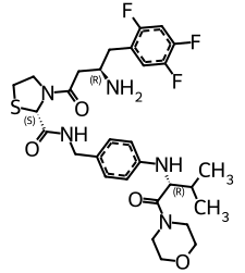 CC(C)[C@@H](Nc1ccc(CNC(=O)[C@@H]2SCCN2C(=O)C[C@H](N)Cc2cc(F)c(F)cc2F)cc1)C(=O)N1CCOCC1